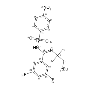 CC(C)(C)CC(C)(C)N=S(NS(=O)(=O)c1ccc([N+](=O)[O-])cc1)c1cc(F)cc(F)c1